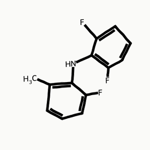 Cc1cccc(F)c1Nc1c(F)cccc1F